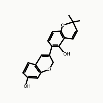 CC1(C)C=Cc2c(ccc(C3=Cc4ccc(O)cc4OC3)c2O)O1